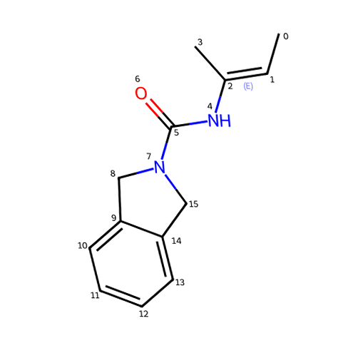 C/C=C(\C)NC(=O)N1Cc2ccccc2C1